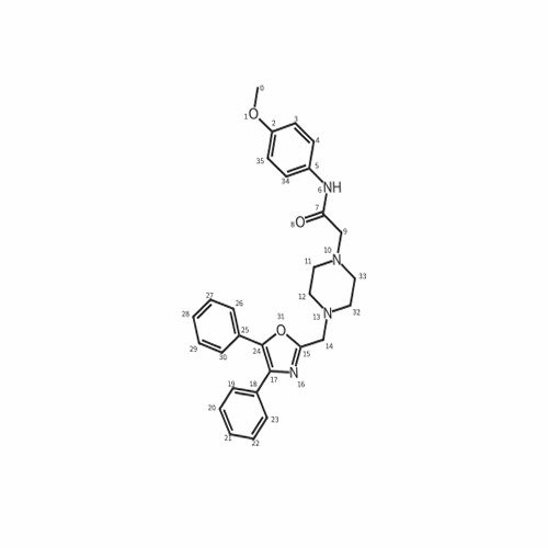 COc1ccc(NC(=O)CN2CCN(Cc3nc(-c4ccccc4)c(-c4ccccc4)o3)CC2)cc1